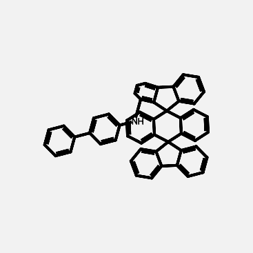 c1ccc(-c2ccc(Nc3cccc4c3C3(c5ccccc5-4)c4ccccc4C4(c5ccccc5-c5ccccc54)c4ccccc43)cc2)cc1